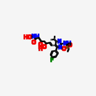 CCS(=O)(=O)Nc1nc(-c2ccc(F)cc2)c(/C=C/[C@@H](O)C[C@@H](O)CC(=O)NO)c(C(C)C)n1